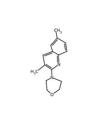 Cc1ccc2nc(N3CCOCC3)c(C)cc2c1